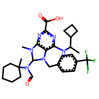 CC(Nc1nc(C(=O)O)nc2c1N(Cc1ccc(C(F)(F)F)cc1)C(N(C=O)C1(C)CCCCC1)N2C)C1CCC1